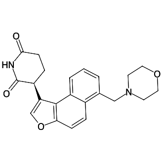 O=C1CC[C@@H](c2coc3ccc4c(CN5CCOCC5)cccc4c23)C(=O)N1